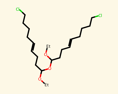 CCOC(CCC=CCCCCCl)OC(CCC=CCCCCCl)OCC